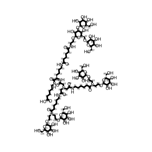 O=C(O)CCCCCNC(=O)[C@@H](CCCCNC(=O)CCCCC(=O)NCCO[C@@H]1O[C@H](CO[C@H]2O[C@H](CO)[C@@H](O)[C@H](O)[C@@H]2O)[C@@H](O)[C@H](O[C@H]2O[C@H](CO)[C@@H](O)[C@H](O)[C@@H]2O)[C@H]1O)NC(=O)CN(CC(=O)NCCCCCC(=O)N(CCO[C@H]1O[C@H](CO)[C@@H](O)[C@H](O)[C@@H]1O)CCO[C@H]1O[C@H](CO)[C@@H](O)[C@H](O)[C@@H]1O)CC(=O)NCCCCCC(=O)N(CCO[C@H]1O[C@H](CO)[C@@H](O)[C@H](O)[C@@H]1O)CCO[C@H]1O[C@H](CO)[C@@H](O)[C@H](O)[C@@H]1O